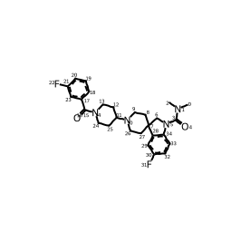 CN(C)C(=O)N1CC2(CCN(C3CCN(C(=O)c4cccc(F)c4)CC3)CC2)c2cc(F)ccc21